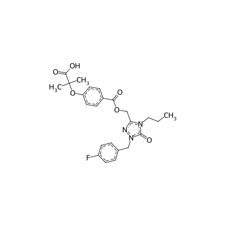 CCCn1c(COC(=O)c2ccc(OC(C)(C)C(=O)O)cc2)nn(Cc2ccc(F)cc2)c1=O